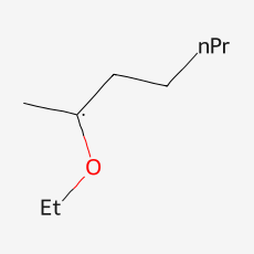 CCCCC[C](C)OCC